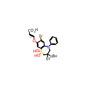 CCCCC1(CC)CN(c2ccccc2)c2cc(Br)c(O/C=C/C(=O)O)cc2S(O)(O)C1